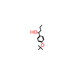 CCCC(O)c1ccc(OC(C)(C)C)cc1